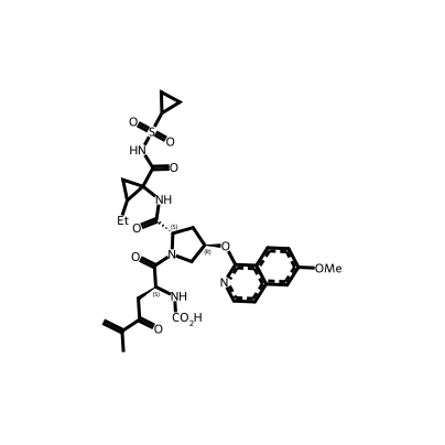 C=C(C)C(=O)C[C@H](NC(=O)O)C(=O)N1C[C@H](Oc2nccc3cc(OC)ccc23)C[C@H]1C(=O)NC1(C(=O)NS(=O)(=O)C2CC2)CC1CC